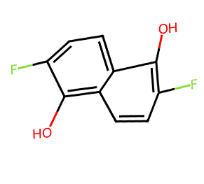 Oc1c(F)ccc2c(O)c(F)ccc12